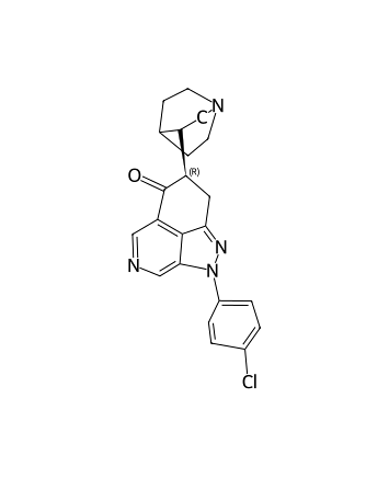 O=C1c2cncc3c2c(nn3-c2ccc(Cl)cc2)C[C@@H]1C1CN2CCC1CC2